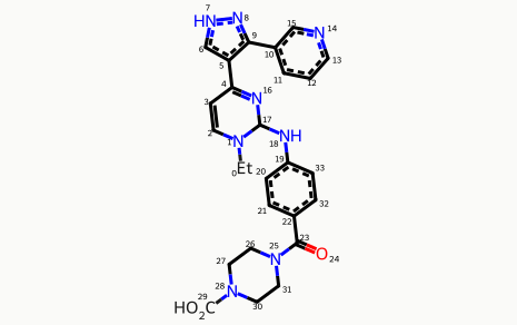 CCN1C=CC(c2c[nH]nc2-c2cccnc2)=NC1Nc1ccc(C(=O)N2CCN(C(=O)O)CC2)cc1